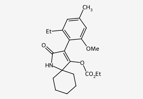 CCOC(=O)OC1=C(c2c(CC)cc(C)cc2OC)C(=O)NC12CCCCC2